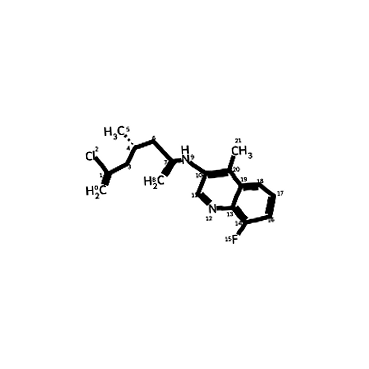 C=C(Cl)C[C@H](C)CC(=C)Nc1cnc2c(F)cccc2c1C